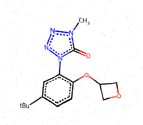 Cn1nnn(-c2cc(C(C)(C)C)ccc2OC2COC2)c1=O